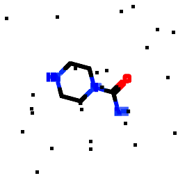 [NH]C(=O)[N+]1[CH]CNCC1